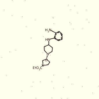 CCOC(=O)N1CC[C@H](N2CCC(Nc3ccccc3N)CC2)C1